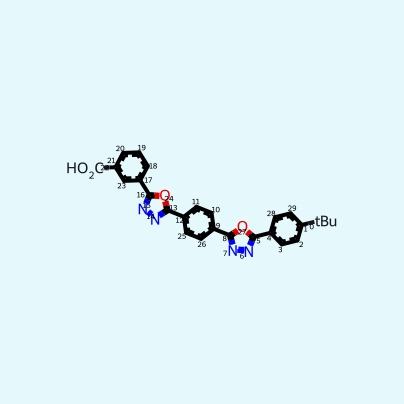 CC(C)(C)c1ccc(-c2nnc(-c3ccc(-c4nnc(-c5cccc(C(=O)O)c5)o4)cc3)o2)cc1